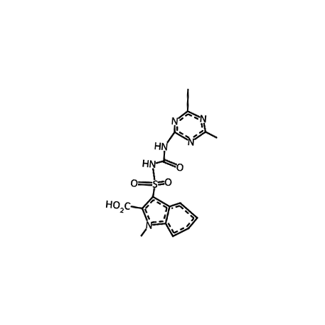 Cc1nc(C)nc(NC(=O)NS(=O)(=O)c2c(C(=O)O)n(C)c3ccccc23)n1